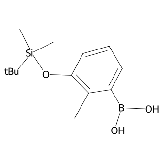 Cc1c(O[Si](C)(C)C(C)(C)C)cccc1B(O)O